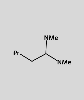 CNC(CC(C)C)NC